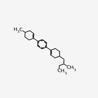 CCC(C)CC1CC=C(c2ccc(C3=CCC(C)CC3)cc2)CC1